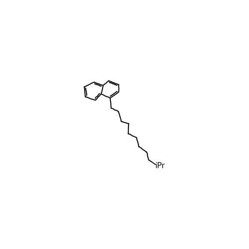 CC(C)CCCCCCCCCc1cccc2ccccc12